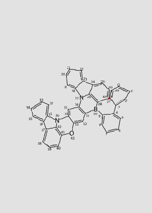 c1ccc(-c2ccccc2B2c3cc4c(cc3-n3c5ccccc5c5cccc2c53)-n2c3ccccc3c3cccc(c32)O4)cc1